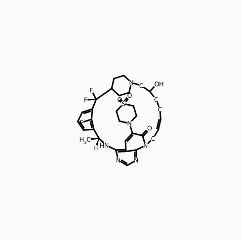 C[C@H]1Nc2ncnc3c2cc(N2CCS(=O)(=O)CC2)c(=O)n3C/C=C\CCC(O)CN2CCC(CC2)C(F)(F)c2cccc1c2F